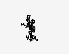 CC(C)N1CCCC(NC(=S)NC2N=C(c3ccccc3)c3cc(Cl)ccc3N(C)C2=O)C1